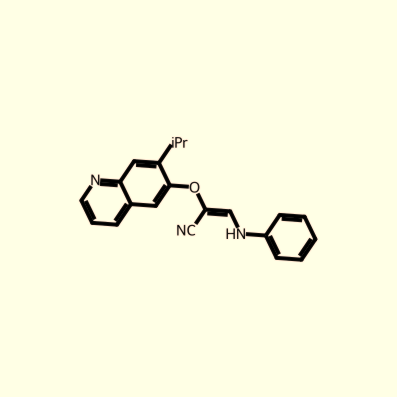 CC(C)c1cc2ncccc2cc1O/C(C#N)=C/Nc1ccccc1